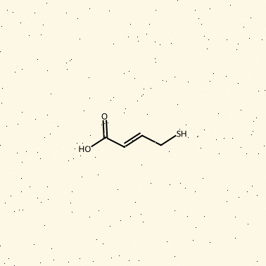 O=C(O)C=CCS